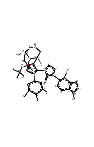 Cc1cc(-n2nc3c(c2-n2ccn(-c4ccc5c(cnn5C)c4F)c2=O)[C@@H]2COC[C@H](C3)N2C(=O)OC(C)(C)C)cc(C)c1F